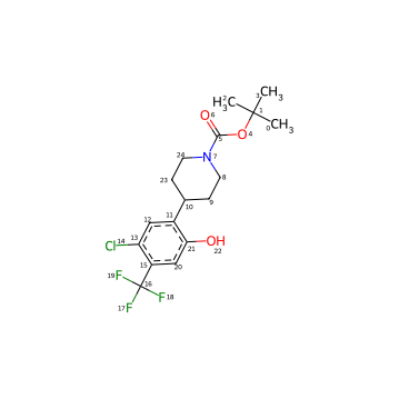 CC(C)(C)OC(=O)N1CCC(c2cc(Cl)c(C(F)(F)F)cc2O)CC1